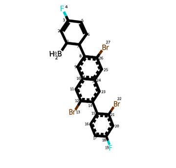 BC1C=C(F)C=CC1c1cc2cc(Br)c(-c3ccc(F)cc3Br)cc2cc1Br